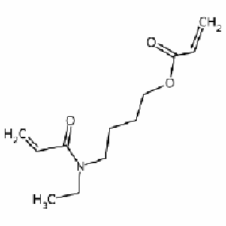 C=CC(=O)OCCCCN(CC)C(=O)C=C